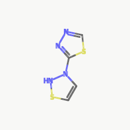 C1=CN(c2nncs2)NS1